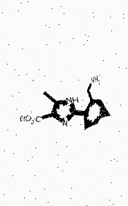 CCOC(=O)c1nc(-c2ccccc2CN)[nH]c1C